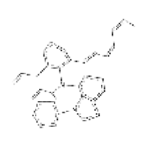 C=CCc1cccc(/C=C/C=C\C=C/C)c1N(c1cccc2ccn(-c3ccccc3)c12)C(C)C=C